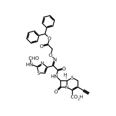 C#CC1=C(C(=O)O)N2C(=O)C(NC(=O)/C(=N/OCC(=O)OC(c3ccccc3)c3ccccc3)c3csc(NC=O)n3)[C@H]2SC1